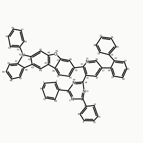 c1ccc(-c2nc(-c3ccccc3)nc(-c3cc(-c4ccccc4-c4ccccc4)cnc3-c3ccc4c(c3)oc3cc5c(cc34)c3ccccc3n5-c3ccccc3)n2)cc1